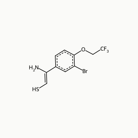 N/C(=C\S)c1ccc(OCC(F)(F)F)c(Br)c1